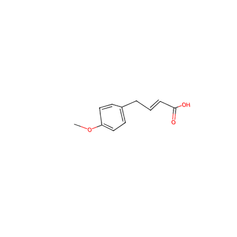 COc1ccc(CC=CC(=O)O)cc1